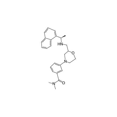 C[C@@H](NCC1CN(c2cccc(C(=O)N(C)C)c2)CCO1)c1cccc2ccccc12